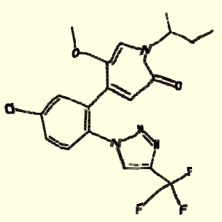 [CH2]C(CC)n1cc(OC)c(-c2cc(Cl)ccc2-n2cc(C(F)(F)F)nn2)cc1=O